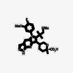 COCC(C)(C)c1c(C2CC[C@@](C)(C(=O)O)OC2)c2nc3[nH]ncc3cc2n1-c1ccc(F)c(OC)c1